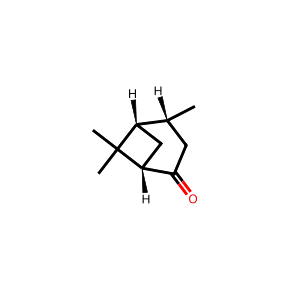 C[C@@H]1CC(=O)[C@H]2C[C@@H]1C2(C)C